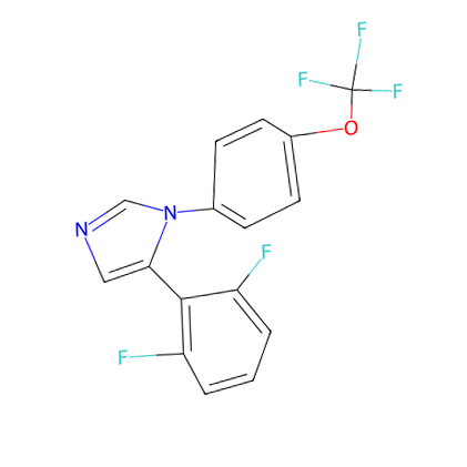 Fc1cccc(F)c1-c1cncn1-c1ccc(OC(F)(F)F)cc1